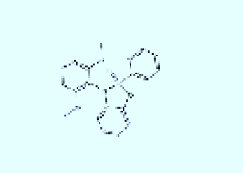 COc1cccc(OC)c1N1c2ccccc2OP1(=O)c1ccccc1